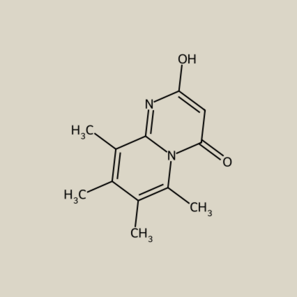 Cc1c(C)c(C)n2c(=O)cc(O)nc2c1C